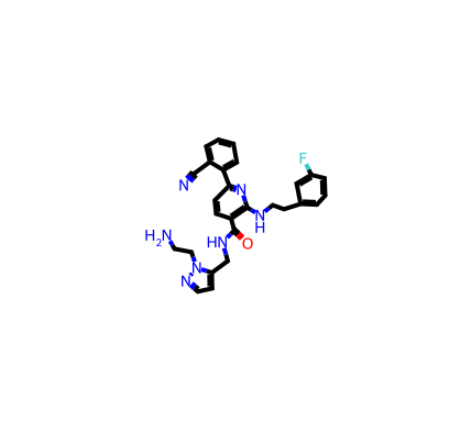 N#Cc1ccccc1-c1ccc(C(=O)NCc2ccnn2CCN)c(NCCc2cccc(F)c2)n1